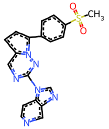 CS(=O)(=O)c1ccc(-c2ccc3cnc(-n4cnc5cnccc54)nn23)cc1